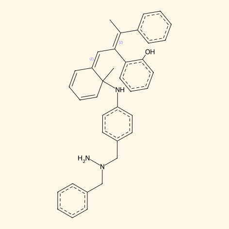 C/C(=C(\C=C1\C=CC=CC1(C)Nc1ccc(CN(N)Cc2ccccc2)cc1)c1ccccc1O)c1ccccc1